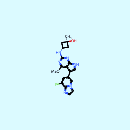 COc1nc(N[C@H]2C[C@](C)(O)C2)nc2[nH]cc(-c3cc(F)c4nccn4c3)c12